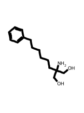 NC(CO)(CO)CCCCCCc1ccccc1